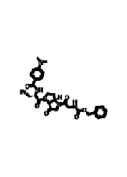 CC(C)C[C@H](NC(=O)c1ccc(N(C)C)cc1)C(=O)N1CC[C@@H]2C1C(=O)CN2C(=O)CNC(=O)OCc1ccccc1